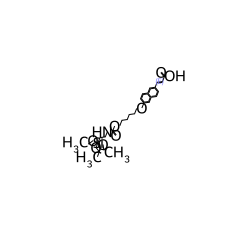 CCO[Si](CCNC(=O)OCCCCCCOc1ccc2cc(/C=C/C(=O)O)ccc2c1)(OCC)OCC